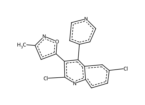 Cc1cc(-c2c(Cl)nc3ccc(Cl)cc3c2-c2ccncc2)on1